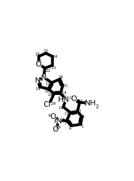 NC(=O)c1cccc([N+](=O)[O-])c1CNc1ccc2c(cnn2C2CCCCO2)c1Cl